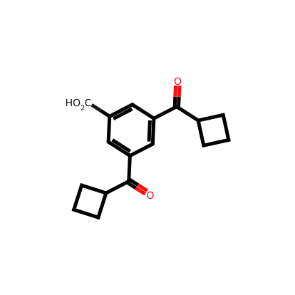 O=C(O)c1cc(C(=O)C2CCC2)cc(C(=O)C2CCC2)c1